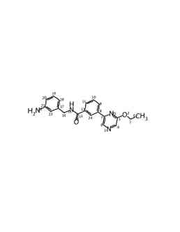 CCOc1cncc(-c2cccc(C(=O)NCc3cccc(N)c3)c2)n1